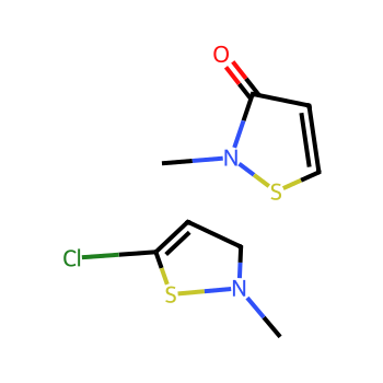 CN1CC=C(Cl)S1.Cn1sccc1=O